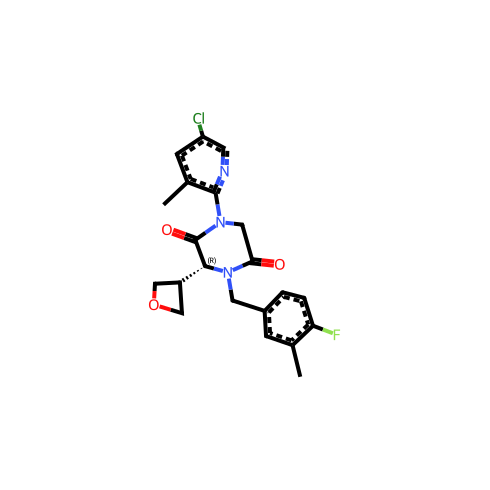 Cc1cc(CN2C(=O)CN(c3ncc(Cl)cc3C)C(=O)[C@H]2C2COC2)ccc1F